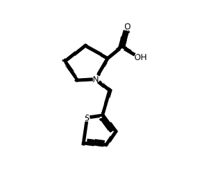 O=C(O)C1CCCN1Cc1cccs1